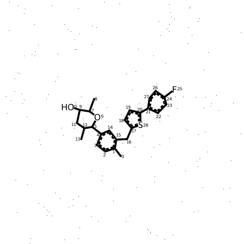 Cc1ccc(C2OC(C)C(O)CC2C)cc1Cc1ccc(-c2ccc(F)cc2)s1